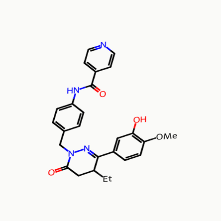 CCC1CC(=O)N(Cc2ccc(NC(=O)c3ccncc3)cc2)N=C1c1ccc(OC)c(O)c1